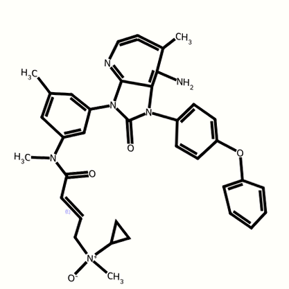 CC1=C=CN=c2c(n(-c3ccc(Oc4ccccc4)cc3)c(=O)n2-c2cc(C)cc(N(C)C(=O)/C=C/C[N+](C)([O-])C3CC3)c2)=C1N